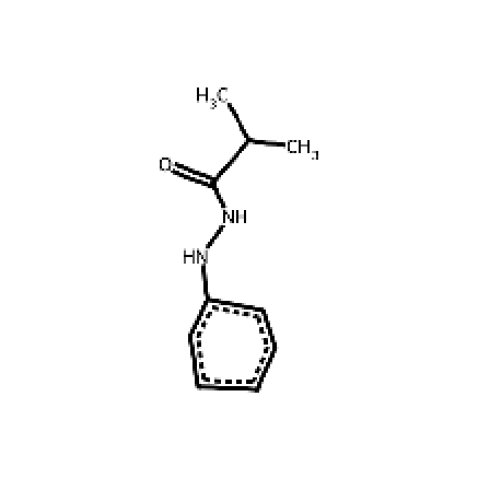 CC(C)C(=O)NNc1ccccc1